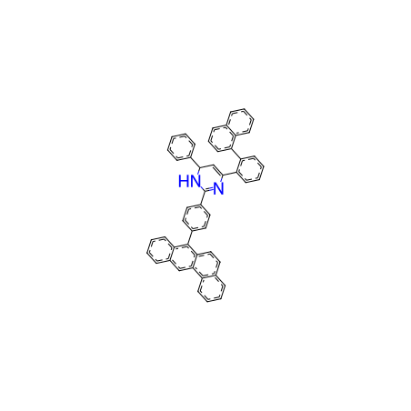 C1=C(c2ccccc2-c2cccc3ccccc23)N=C(c2ccc(-c3c4ccccc4cc4c3ccc3ccccc34)cc2)NC1c1ccccc1